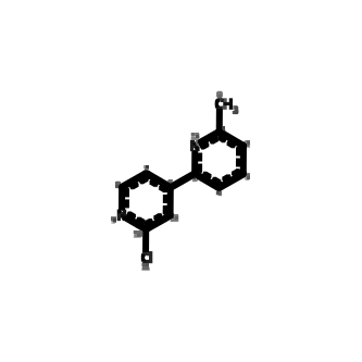 Cc1[c]ccc(-c2ccnc(Cl)c2)n1